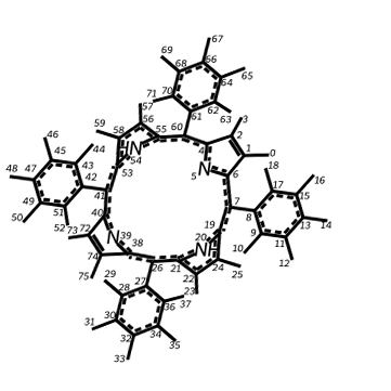 CC1=C(C)c2nc1c(-c1c(C)c(C)c(C)c(C)c1C)c1[nH]c(c(C)c1C)c(-c1c(C)c(C)c(C)c(C)c1C)c1nc(c(-c3c(C)c(C)c(C)c(C)c3C)c3[nH]c(c(C)c3C)c2-c2c(C)c(C)c(C)c(C)c2C)C(C)=C1C